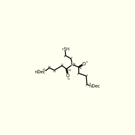 CCCCCCCCCCCCCC(=O)N(CCS)C(=O)CCCCCCCCCCCCC